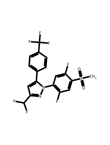 CS(=O)(=O)c1cc(F)c(-n2nc(C(F)F)cc2-c2ccc(C(F)(F)F)cc2)cc1F